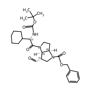 CC(C)(C)OC(=O)N[C@H](C(=O)N1CC[C@@H]2[C@H]1[C@@H](C=O)CN2C(=O)OCc1ccccc1)C1CCCCC1